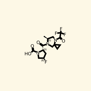 C[C@H]1CN(C(=O)C(F)(F)F)C2(CC2)CN1C(=O)[C@@H]1C[C@@H](F)CN1C(=O)O